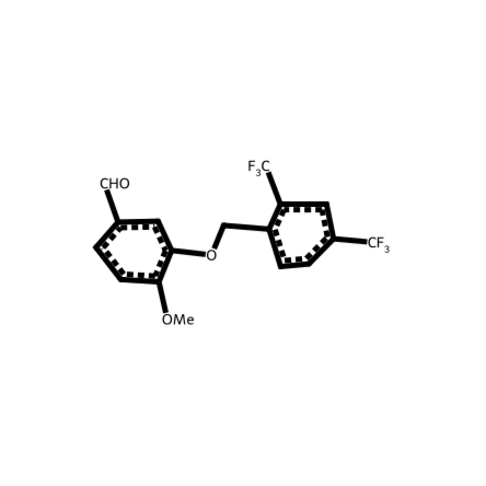 COc1ccc(C=O)cc1OCc1ccc(C(F)(F)F)cc1C(F)(F)F